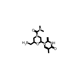 BCC1CN(C(=O)N(C)C)CC(N2C=C(C)C(=O)NC2=C)O1